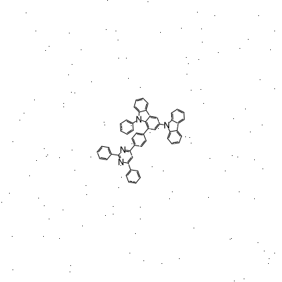 c1ccc(-c2cc(-c3ccc(-c4cc(-n5c6ccccc6c6ccccc65)cc5c6ccccc6n(-c6ccccc6)c45)cc3)nc(-c3ccccc3)n2)cc1